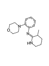 CC1CCCN/C1=N/c1ccccc1N1CCOCC1